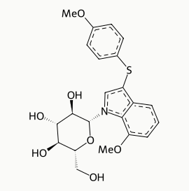 COc1ccc(Sc2cn([C@@H]3O[C@H](CO)[C@@H](O)[C@H](O)[C@H]3O)c3c(OC)cccc23)cc1